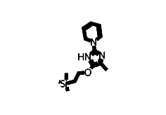 Cc1nc(N2C=CC=CC2)[nH]c1OCC[Si](C)(C)C